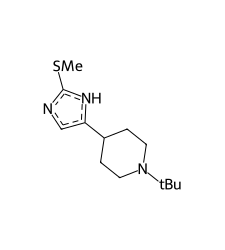 CSc1ncc(C2CCN(C(C)(C)C)CC2)[nH]1